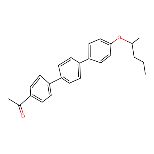 CCCC(C)Oc1ccc(-c2ccc(-c3ccc(C(C)=O)cc3)cc2)cc1